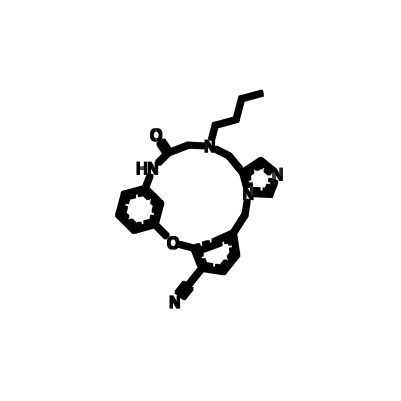 CCCCN1CC(=O)Nc2cccc(c2)Oc2cc(ccc2C#N)Cn2cncc2C1